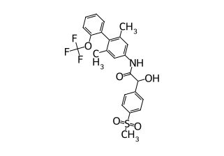 Cc1cc(NC(=O)C(O)c2ccc(S(C)(=O)=O)cc2)cc(C)c1-c1ccccc1OC(F)(F)F